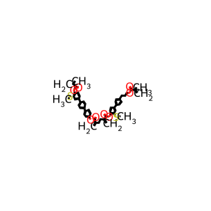 C=C(C)C(=O)OCCCc1ccc(-c2ccc(OC(=O)C(=C)CCC(=C)C(=O)Oc3ccc(-c4ccc(-c5ccc(OC(=O)C(=C)C)c(SC)c5)cc4)cc3)c(SC)c2)cc1